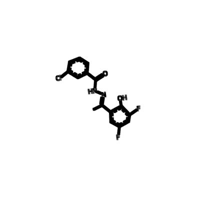 C/C(=N\NC(=O)c1cccc(Cl)c1)c1cc(F)cc(F)c1O